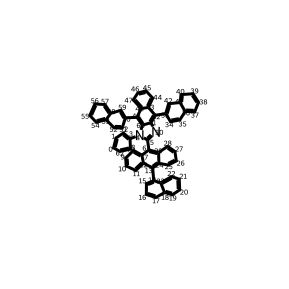 c1ccc(-n2c(-c3c4ccccc4c(-c4cccc5ccccc45)c4ccccc34)nc3c(-c4ccc5ccccc5c4)c4ccccc4c(-c4ccc5ccccc5c4)c32)cc1